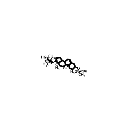 CC(=O)[C@]12CC[C@H](O[Si](C)(C)C(C)(C)C)CC1=CCC1C2CC[C@@]2(C)C1CC[C@@H]2CC(C)(C)[Si](C)(C)O